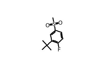 CC(C)(C)c1cc(S(C)(=O)=O)ccc1F